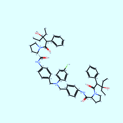 CCC(O)(CC)C(C(=O)N1CCCC1C(=O)Nc1ccc(CN(Cc2ccc(NC(=O)[C@@H]3CCCN3C(=O)C(c3ccccc3)C(O)(CC)CC)cc2)c2ccc(F)cc2)cc1)c1ccccc1